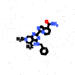 CC1CN(C)Cc2nc(-c3ncc4c(C(N)=O)cccn34)nc(NCc3ccccc3)c21